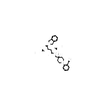 CC(=O)O[C@@H](C(=O)NCC1(C)CCN(c2ccccc2C#N)CC1)[C@@H](OC(C)=O)C(=O)N1Cc2ccccc2C1